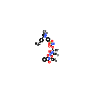 Cc1ccc(-c2cc(C(F)(F)F)nn2-c2ccc(S(=O)(=O)NC(=O)OC[C@H](C(C)C)N(C)/[N+]([O-])=N\OC(C)N3C(=O)c4ccccc4C3=O)cc2)cc1